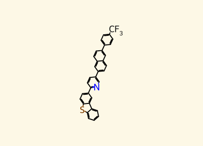 FC(F)(F)c1ccc(-c2ccc3cc(-c4ccc(-c5ccc6sc7ccccc7c6c5)nc4)ccc3c2)cc1